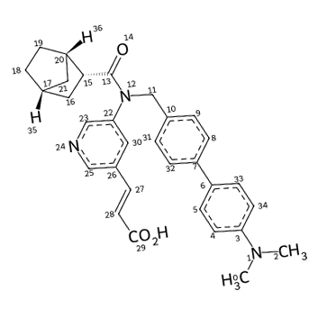 CN(C)c1ccc(-c2ccc(CN(C(=O)[C@@H]3C[C@@H]4CC[C@H]3C4)c3cncc(C=CC(=O)O)c3)cc2)cc1